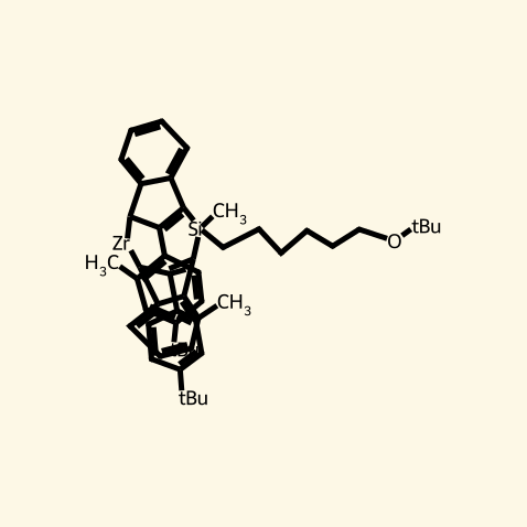 Cc1cc(C(C)(C)C)ccc1C1=C2c3ccccc3[CH]1[Zr][CH]1C(c3ccc(C(C)(C)C)cc3C)=C(c3ccccc31)[Si]2(C)CCCCCCOC(C)(C)C